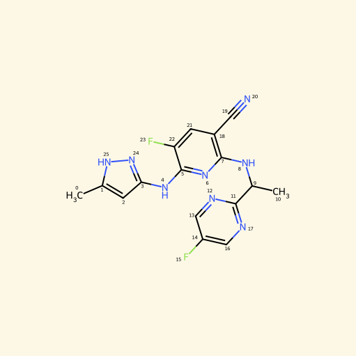 Cc1cc(Nc2nc(NC(C)c3ncc(F)cn3)c(C#N)cc2F)n[nH]1